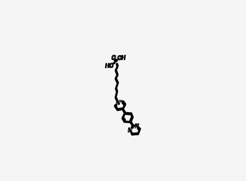 O=P(O)(O)CCCCCCCC[n+]1ccc(-c2ccc(-c3ncccn3)cc2)cc1